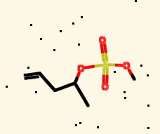 C=CCC(C)OS(=O)(=O)OC